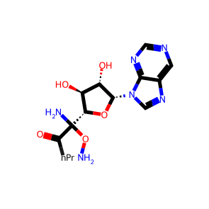 CCCC(=O)C(N)(ON)[C@H]1O[C@@H](n2cnc3cncnc32)[C@@H](O)[C@@H]1O